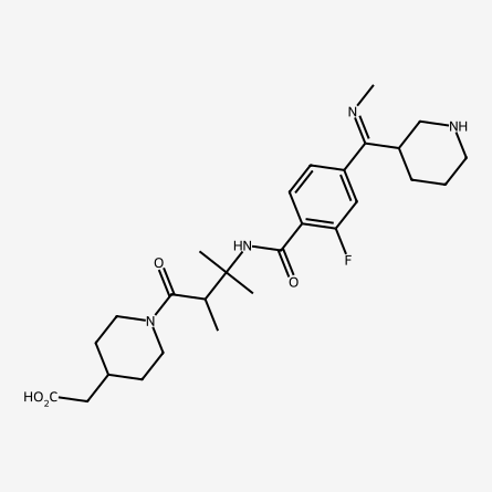 CN=C(c1ccc(C(=O)NC(C)(C)C(C)C(=O)N2CCC(CC(=O)O)CC2)c(F)c1)C1CCCNC1